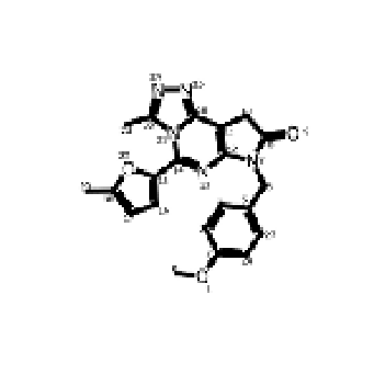 COc1ccc(CN2C(=O)Cc3c2nc(-c2ccc(C)o2)n2c(C)nnc32)cc1